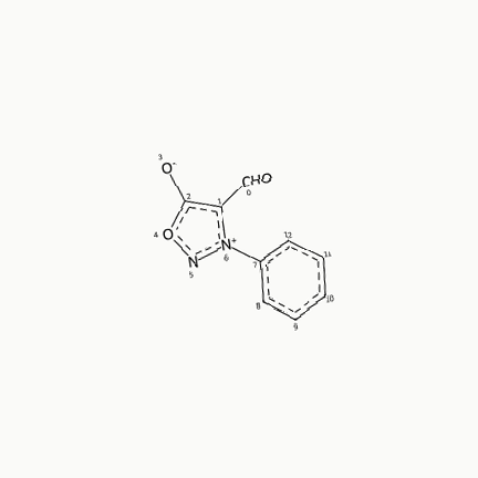 O=Cc1c([O-])on[n+]1-c1ccccc1